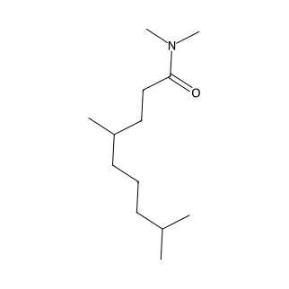 CC(C)CCCC(C)CCC(=O)N(C)C